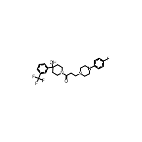 O=C(CCN1CCN(c2ccc(F)cc2)CC1)N1CCC(O)(c2cccc(C(F)(F)F)c2)CC1